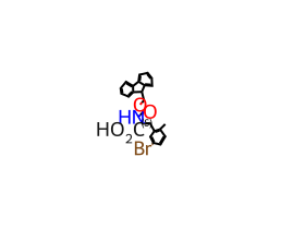 Cc1ccc(Br)cc1C[C@H](NC(=O)OCC1c2ccccc2-c2ccccc21)C(=O)O